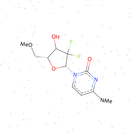 CNc1ccn([C@@H]2O[C@H](COC)C(O)C2(F)F)c(=O)n1